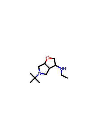 CCNC1COC2CN(C(C)(C)C)CC12